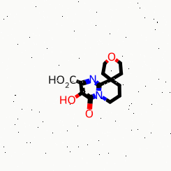 O=C(O)c1nc2n(c(=O)c1O)CCCC21CCOCC1